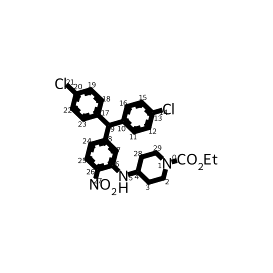 CCOC(=O)N1CCC(Nc2cc(C(c3ccc(Cl)cc3)c3ccc(Cl)cc3)ccc2[N+](=O)[O-])CC1